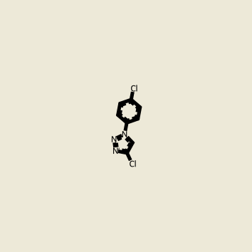 Clc1ccc(-n2cc(Cl)nn2)cc1